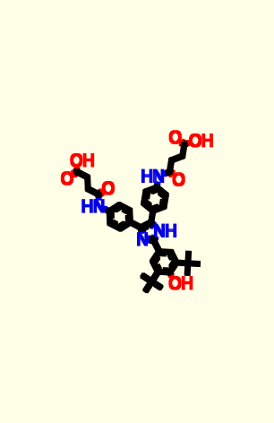 CC(C)(C)c1cc(-c2nc(-c3ccc(NC(=O)CCC(=O)O)cc3)c(-c3ccc(NC(=O)CCC(=O)O)cc3)[nH]2)cc(C(C)(C)C)c1O